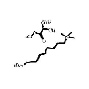 CC(C)(C)OC(=O)C(C#N)C=O.CCCCCCCCCCCCCCCCCC[N+](C)(C)C